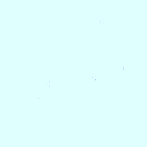 O=C(O)NCCNc1cc(Br)ccn1